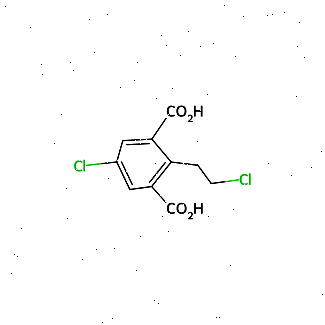 O=C(O)c1cc(Cl)cc(C(=O)O)c1CCCl